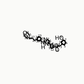 O=C(NCc1cccc(O)c1)c1ccc(-c2ccnc(Nc3cccc(CCCN4CCOCC4)c3)n2)s1